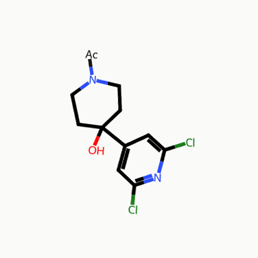 CC(=O)N1CCC(O)(c2cc(Cl)nc(Cl)c2)CC1